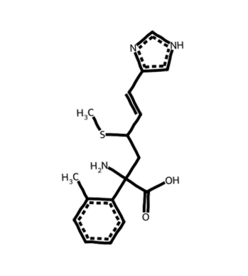 CSC(C=Cc1c[nH]cn1)CC(N)(C(=O)O)c1ccccc1C